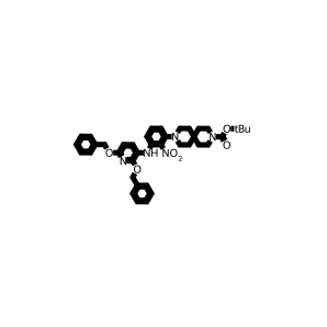 CC(C)(C)OC(=O)N1CCC2(CC1)CCN(c1cccc(Nc3ccc(OCc4ccccc4)nc3OCc3ccccc3)c1[N+](=O)[O-])CC2